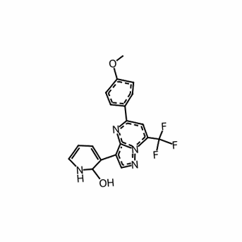 COc1ccc(-c2cc(C(F)(F)F)n3ncc(C4=CC=CNC4O)c3n2)cc1